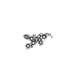 Cc1ccc2c(c1)C(C)(C)c1c3c(c4ccccc4c1-2)OC(c1ccc(Sc2ccccc2)cc1)(c1ccc(N2CCOCC2)cc1)C=C3